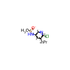 CCCc1cc(N[S+](C)[O-])cnc1Cl